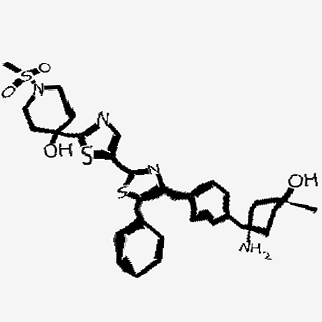 CS(=O)(=O)N1CCC(O)(c2ncc(-c3nc(-c4ccc([C@]5(N)C[C@](C)(O)C5)cc4)c(-c4ccccc4)s3)s2)CC1